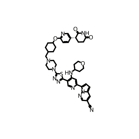 N#Cc1cnn2c(-c3cc(NC4CCOCC4)c(-c4nnc(N5CCN(CC6CCC(Oc7ccc([C@H]8CCC(=O)NC8=O)cn7)CC6)CC5)s4)cn3)ccc2c1